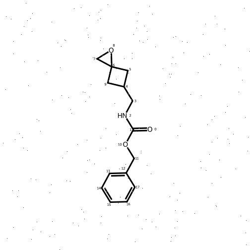 O=C(NCC1CC2(CO2)C1)OCc1ccccc1